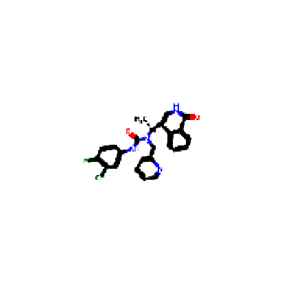 C[C@H](c1c[nH]c(=O)c2ccccc12)N(Cc1ccccn1)C(=O)Nc1ccc(F)c(Cl)c1